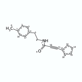 Cc1ccc(CCNC(=O)C#Cc2cccs2)cc1